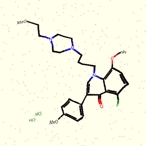 CCCOc1ccc(F)c2c(=O)c(-c3ccc(OC)cc3)cn(CCCN3CCN(CCOC)CC3)c12.Cl.Cl